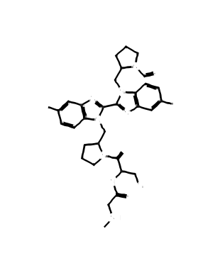 CNCC(=O)NC(CO)C(=O)N1CCCC1Cn1c(-c2nc3cc(F)ccc3n2CC2CCCN2C=O)nc2cc(F)ccc21